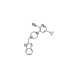 N#Cc1ncc(C2CC2)cc1N1CCN(Cc2nc3ccccc3s2)CC1